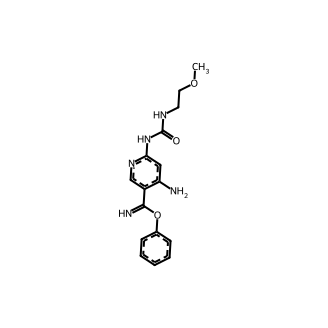 COCCNC(=O)Nc1cc(N)c(C(=N)Oc2ccccc2)cn1